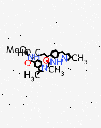 COCCNC(=O)c1ccc2c(c1)c(C)cn2C(C)C(=O)Nc1cc(CC2C=C(C)C=N2)ccc1CCCC(=O)O